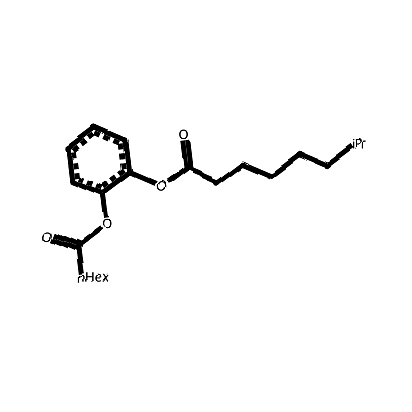 CCCCCCC(=O)Oc1ccccc1OC(=O)CCCCCC(C)C